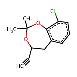 C#CC1Cc2cccc(Cl)c2OC(C)(C)O1